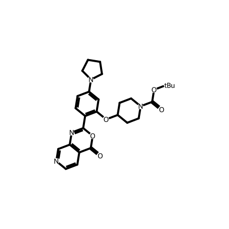 CC(C)(C)OC(=O)N1CCC(Oc2cc(N3CCCC3)ccc2-c2nc3cnccc3c(=O)o2)CC1